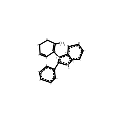 CC1=C(n2c(-c3ccccc3)nc3ccccc32)C=CCC1